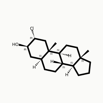 C[C@@]12CCC[C@H]1[C@@H]1CC[C@H]3C[C@@H](O)[C@H](Cl)C[C@]3(C)[C@H]1CC2